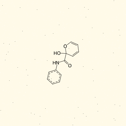 O=C(Nc1ccccc1)C1(O)C=CC=CO1